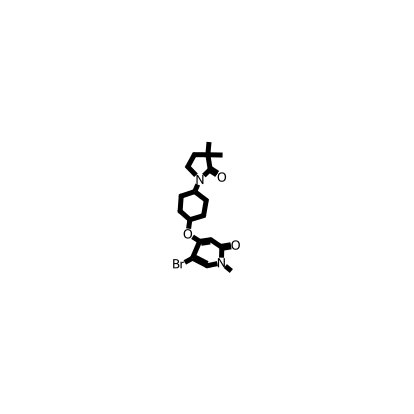 Cn1cc(Br)c(OC2CCC(N3CCC(C)(C)C3=O)CC2)cc1=O